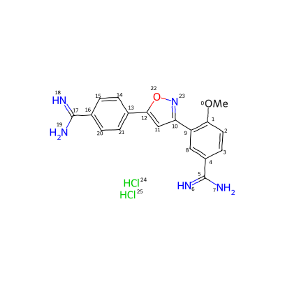 COc1ccc(C(=N)N)cc1-c1cc(-c2ccc(C(=N)N)cc2)on1.Cl.Cl